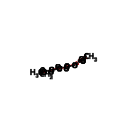 C=C(C)C(=O)OCCCCCC(=O)OCCCCCC(=O)OCCCCCC(=O)OCCCCCCO[C@H]1CC[C@H](c2ccc(OC(=O)c3ccc(C)cc3)cc2)CC1